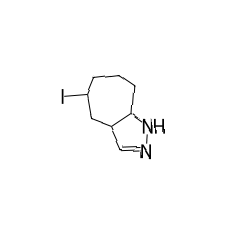 IC1CCCC2NN=CC2C1